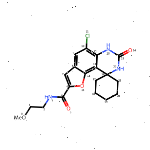 COCCNC(=O)c1cc2cc(Cl)c3c(c2o1)C1(CCCCC1)NC(=O)N3